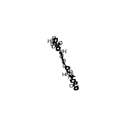 Cc1ccccc1C(=O)N1CCc2cc(-c3nc(NC(=O)Cc4cccc(OCCOCCOCCNc5ccc6c(c5)C(=O)N(C5CCC(=O)NC5=O)C6=O)c4)sc3C)ccc21